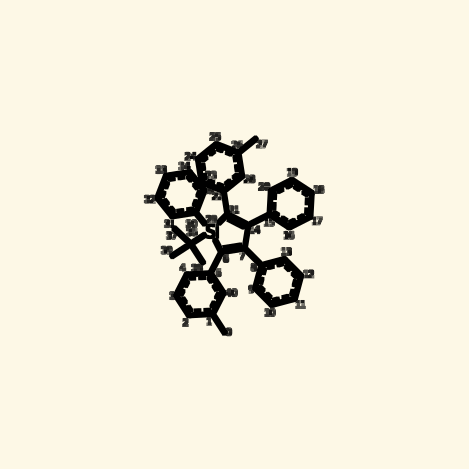 Cc1cccc(C2=C(c3ccccc3)C(c3ccccc3)=C(c3cccc(C)c3)[Si]2(c2ccccc2)C(C)(C)C)c1